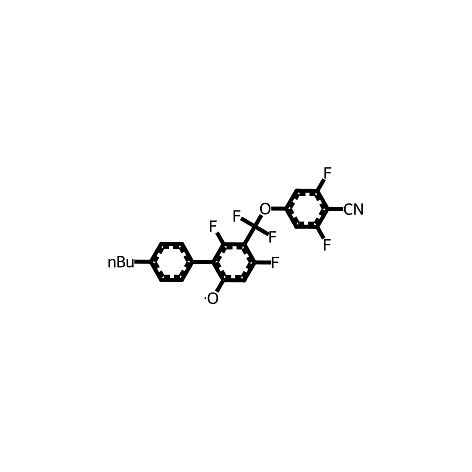 CCCCc1ccc(-c2c([O])cc(F)c(C(F)(F)Oc3cc(F)c(C#N)c(F)c3)c2F)cc1